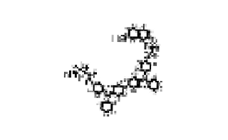 CCCC(C)(CC)C(F)(F)C(F)Oc1ccc(N(c2ccccc2)c2ccc(-c3ccc(N(c4ccccc4)c4ccc(OC(F)C(F)(F)Oc5ccc6ccc(O)cc6c5)cc4)cc3)cc2)cc1